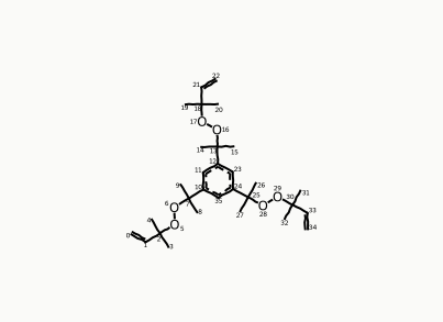 C=CC(C)(C)OOC(C)(C)c1cc(C(C)(C)OOC(C)(C)C=C)cc(C(C)(C)OOC(C)(C)C=C)c1